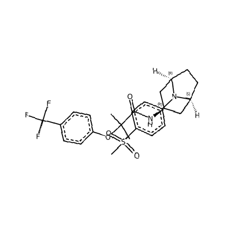 CC(C)(Oc1ccc(C(F)(F)F)cc1)C(=O)N[C@H]1C[C@H]2CC[C@@H](C1)N2c1ccc(S(C)(=O)=O)cc1